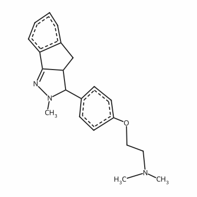 CN(C)CCOc1ccc(C2C3Cc4ccccc4C3=NN2C)cc1